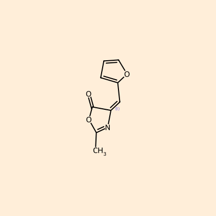 CC1=N/C(=C/c2ccco2)C(=O)O1